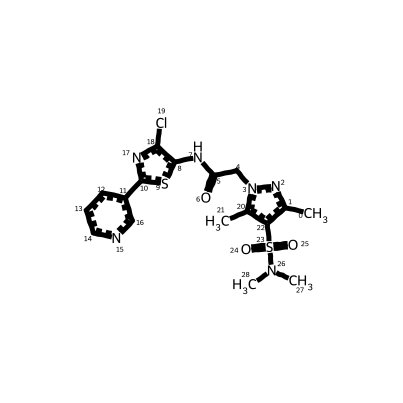 Cc1nn(CC(=O)Nc2sc(-c3cccnc3)nc2Cl)c(C)c1S(=O)(=O)N(C)C